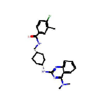 Cc1cc(C(=O)NC[C@H]2CC[C@@H](Nc3nc(N(C)C)c4ccccc4n3)CC2)ccc1Br